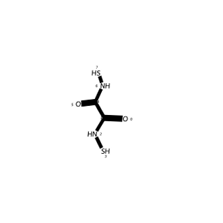 O=C(NS)C(=O)NS